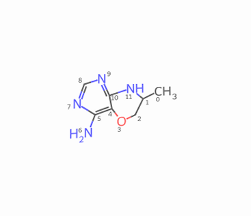 CC1COc2c(N)ncnc2N1